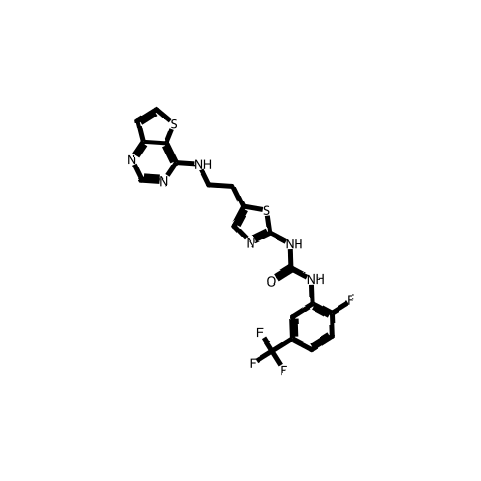 O=C(Nc1ncc(CCNc2ncnc3ccsc23)s1)Nc1cc(C(F)(F)F)ccc1F